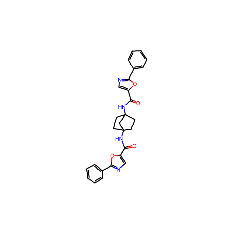 O=C(NC12CCC(NC(=O)c3cnc(-c4ccccc4)o3)(CC1)C2)c1cnc(-c2ccccc2)o1